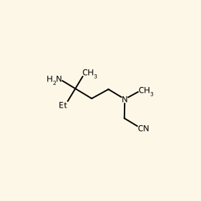 CCC(C)(N)CCN(C)CC#N